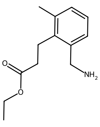 CCOC(=O)CCc1c(C)cccc1CN